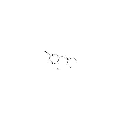 Br.CCN(CC)Cc1cccc(O)c1